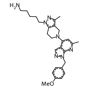 COc1ccc(Cn2ncc3c(N4CCc5c(c(C)nn5CCCCCN)C4)cc(C)nc32)cc1